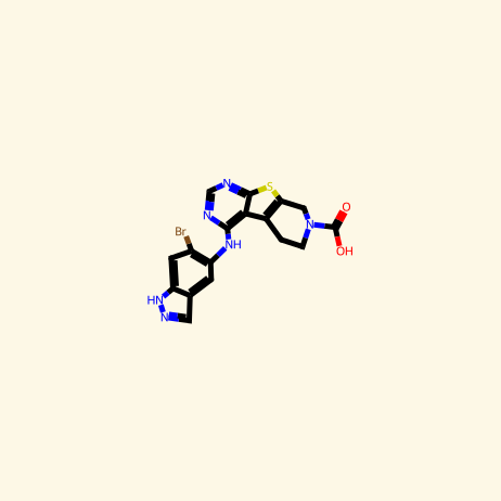 O=C(O)N1CCc2c(sc3ncnc(Nc4cc5cn[nH]c5cc4Br)c23)C1